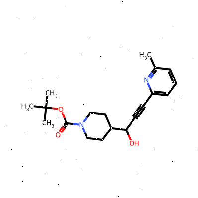 Cc1cccc(C#CC(O)C2CCN(C(=O)OC(C)(C)C)CC2)n1